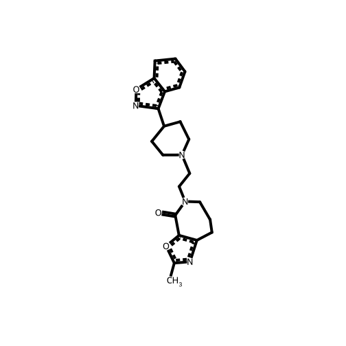 Cc1nc2c(o1)C(=O)N(CCN1CCC(c3noc4ccccc34)CC1)CCC2